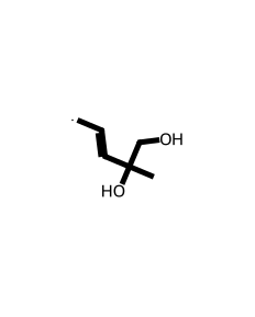 [CH2]C=CC(C)(O)CO